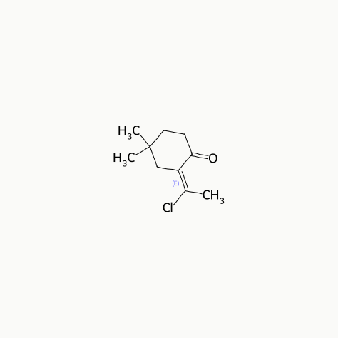 C/C(Cl)=C1/CC(C)(C)CCC1=O